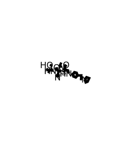 CCn1c(=C(C#N)C(=O)N[C@H](CO)C(C)C)sc(=CNc2ccc(CCN3CCCC3)cc2)c1=O